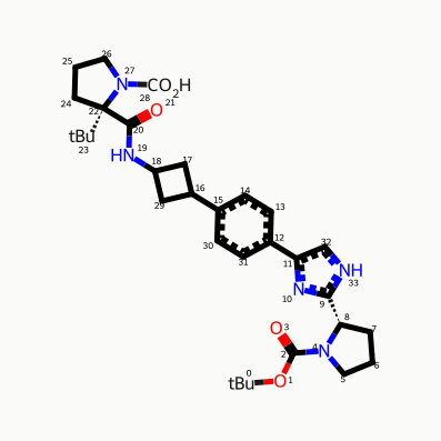 CC(C)(C)OC(=O)N1CCC[C@H]1c1nc(-c2ccc(C3CC(NC(=O)[C@@]4(C(C)(C)C)CCCN4C(=O)O)C3)cc2)c[nH]1